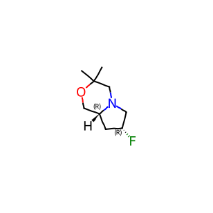 CC1(C)CN2C[C@H](F)C[C@@H]2CO1